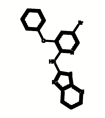 Brc1cnc(Nc2nc3cccnc3s2)c(Oc2ccccc2)c1